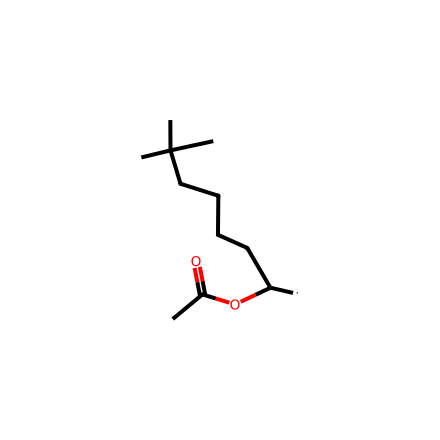 [CH2]C(CCCCC(C)(C)C)OC(C)=O